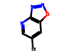 CCc1cnc2nnoc2c1